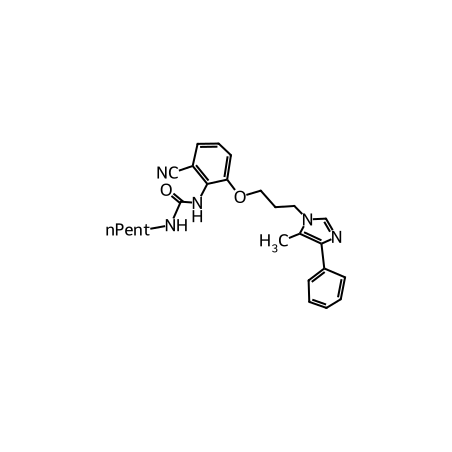 CCCCCNC(=O)Nc1c(C#N)cccc1OCCCn1cnc(-c2ccccc2)c1C